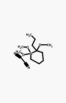 CCCC1(OC)CCCC[Si]1(OC)OC.N#CC#N